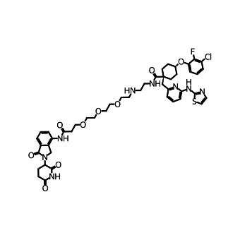 O=C1CCC(N2Cc3c(NC(=O)CCOCCOCCOCCNCCNC(=O)[C@]4(Cc5cccc(Nc6nccs6)n5)CC[C@@H](Oc5cccc(Cl)c5F)CC4)cccc3C2=O)C(=O)N1